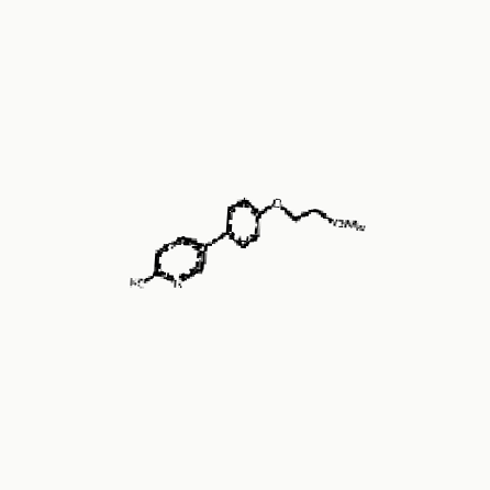 COCCOc1ccc(-c2ccc(C#N)nc2)cc1